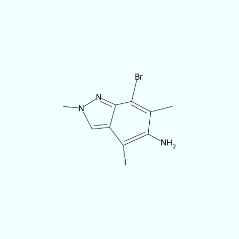 Cc1c(N)c(I)c2cn(C)nc2c1Br